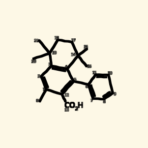 Cc1cc2c(c(-c3ccccc3)c1C(=O)O)C(C)(C)CCC2(C)C